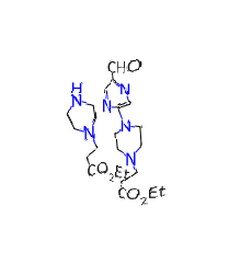 CCOC(=O)CCN1CCN(c2cnc(C=O)cn2)CC1.CCOC(=O)CCN1CCNCC1